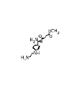 COC(=O)CCC(=O)/N=C(\N)c1ccc(NCCN)cc1